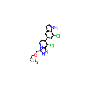 CCOCc1nnc2c(Cl)c(-c3cc(Cl)c4[nH]ccc4c3)ccn12